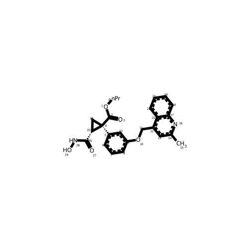 CCCOC(=O)[C@]1(c2cccc(OCc3cc(C)nc4ccccc34)c2)C[C@H]1C(=O)NO